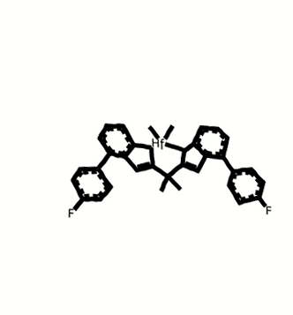 CC1(C)C2=Cc3c(-c4ccc(F)cc4)cccc3[CH]2[Hf]([CH3])([CH3])[CH]2C1=Cc1c(-c3ccc(F)cc3)cccc12